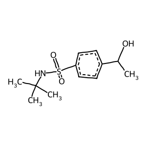 CC(O)c1ccc(S(=O)(=O)NC(C)(C)C)cc1